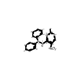 Cc1ncc([N+](=O)[O-])c(NN(c2ccccc2)c2ccccc2)n1